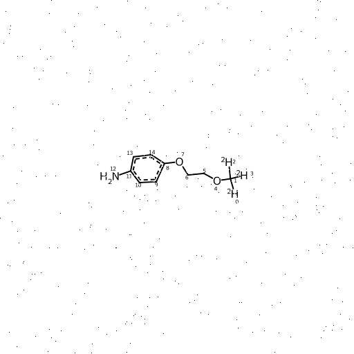 [2H]C([2H])([2H])OCCOc1ccc(N)cc1